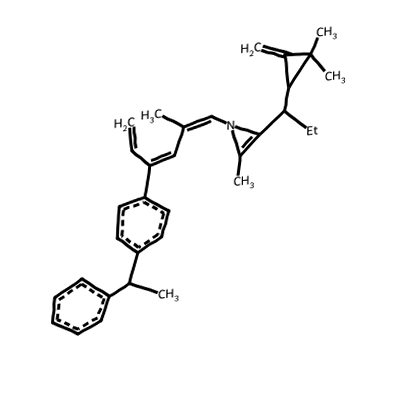 C=C/C(=C\C(C)=C/N1C(C)=C1C(CC)C1C(=C)C1(C)C)c1ccc(C(C)c2ccccc2)cc1